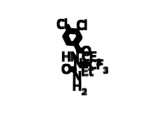 CCC(N(NC(=O)c1ccc(Cl)c(Cl)c1)C(N)=O)(C(F)(F)F)C(F)(F)F